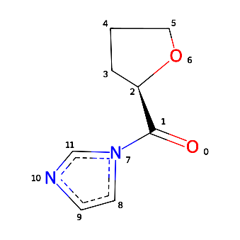 O=C([C@H]1CCCO1)n1ccnc1